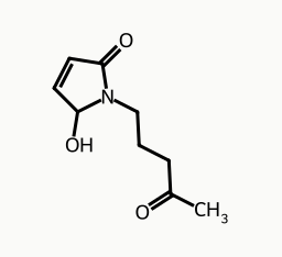 CC(=O)CCCN1C(=O)C=CC1O